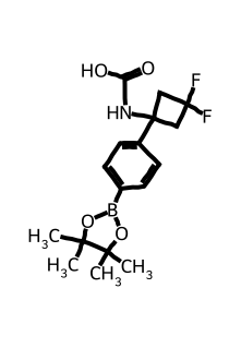 CC1(C)OB(c2ccc(C3(NC(=O)O)CC(F)(F)C3)cc2)OC1(C)C